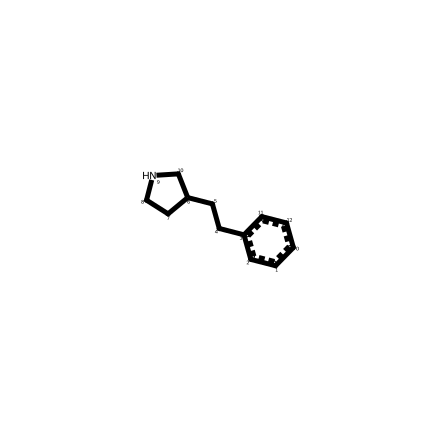 c1ccc(CCC2CCNC2)cc1